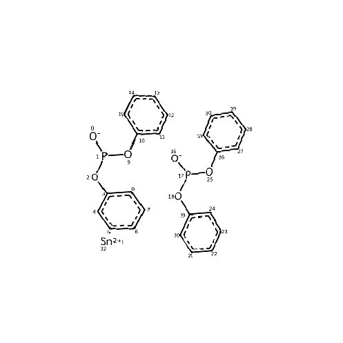 [O-]P(Oc1ccccc1)Oc1ccccc1.[O-]P(Oc1ccccc1)Oc1ccccc1.[Sn+2]